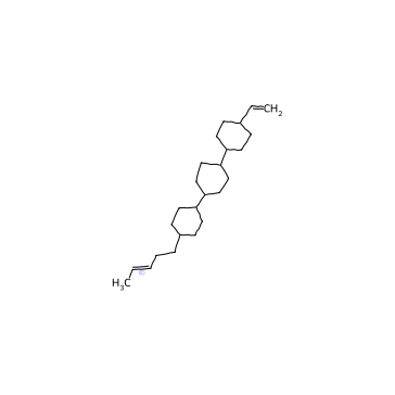 C=CC1CCC(C2CCC(C3CCC(CC/C=C/C)CC3)CC2)CC1